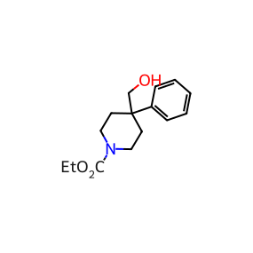 CCOC(=O)N1CCC(CO)(c2ccccc2)CC1